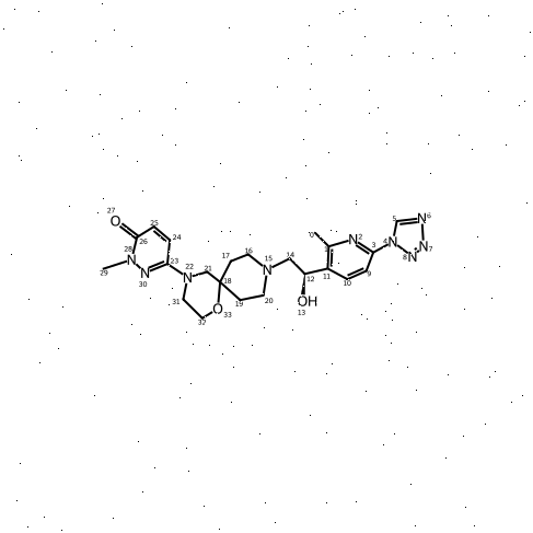 Cc1nc(-n2cnnn2)ccc1[C@@H](O)CN1CCC2(CC1)CN(c1ccc(=O)n(C)n1)CCO2